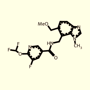 COCc1ccc2ncn(C)c2c1CNC(=O)c1cnc(OC(F)F)c(F)c1